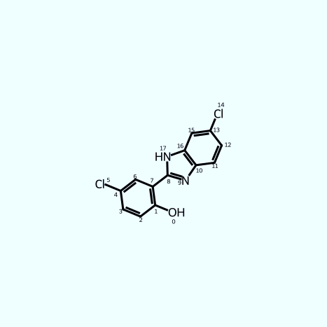 Oc1ccc(Cl)cc1-c1nc2ccc(Cl)cc2[nH]1